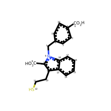 O=C(O)c1ccc(Cn2c(C(=O)O)c(CCS)c3ccccc32)cc1